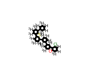 [2H]c1c([2H])c([2H])c(-c2c([2H])c([2H])c([2H])c3c2sc2c(-c4c([2H])c([2H])c([2H])c(-c5c([2H])c([2H])c6oc7c([2H])c([2H])c([2H])c(Cl)c7c6c5[2H])c4[2H])c([2H])c([2H])c([2H])c23)c([2H])c1[2H]